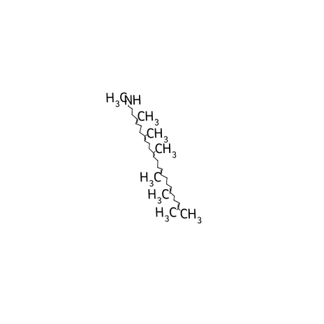 CNCCC/C(C)=C/CC/C(C)=C/CC/C(C)=C/CC/C=C(\C)CC/C=C(\C)CCC=C(C)C